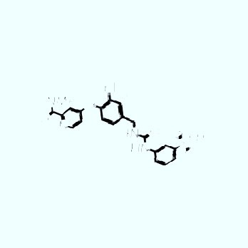 CNC(=O)c1cc(Oc2ccc(CNC(=O)Nc3cccc(S(C)(=O)=O)c3)cc2C)ccn1